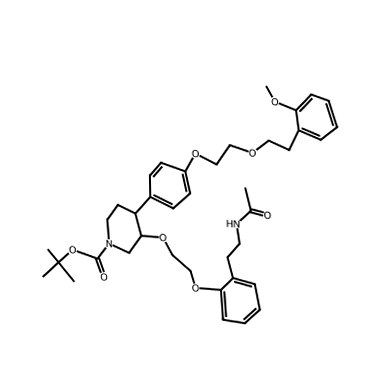 COc1ccccc1CCOCCOc1ccc(C2CCN(C(=O)OC(C)(C)C)CC2OCCOc2ccccc2CCNC(C)=O)cc1